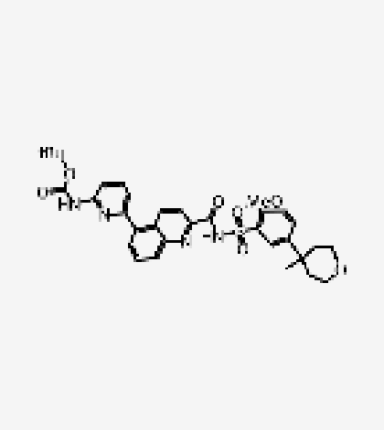 COc1ccc(C2(C)CCOCC2)cc1S(=O)(=O)NC(=O)c1ccc2c(-c3cccc(NC(=O)OC(C)(C)C)n3)cccc2n1